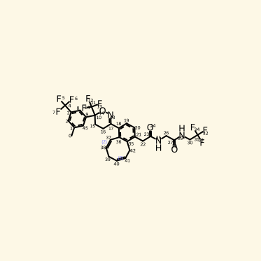 Cc1cc(C(F)(F)F)cc(C2(C(F)(F)F)CCC(c3ccc(CC(=O)NCC(=O)NCC(F)(F)F)c4c3/C=C\C/C=C\C4)=NO2)c1